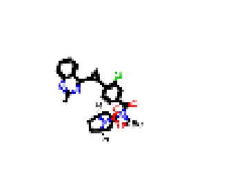 Cc1nc(C2CC2c2ccc(C(=O)N(C)C3C[C@H]4CC[C@@H](C3)N4C(=O)OC(C)(C)C)cc2Cl)c2ccccc2n1